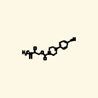 CNC(=O)COC(=O)N1CCN(c2ccc(C#N)cc2)CC1